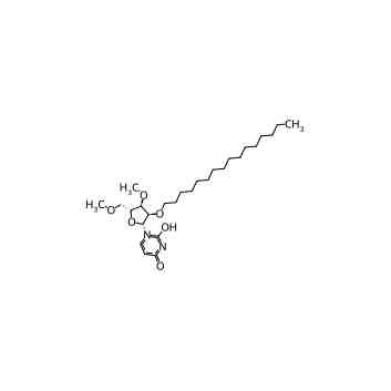 CCCCCCCCCCCCCCCCO[C@@H]1[C@H](OC)[C@@H](COC)O[C@H]1n1ccc(=O)nc1O